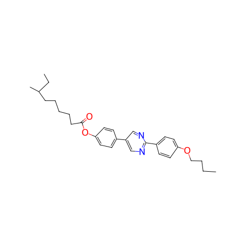 CCCCOc1ccc(-c2ncc(-c3ccc(OC(=O)CCCCCC(C)CC)cc3)cn2)cc1